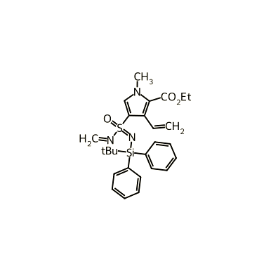 C=Cc1c(S(=O)(N=C)=N[Si](c2ccccc2)(c2ccccc2)C(C)(C)C)cn(C)c1C(=O)OCC